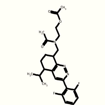 CC(=O)OCCN(CC1CCC(C(C)C)c2cc(-c3c(F)cccc3F)nnc21)C(C)=O